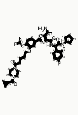 C[C@H](N)c1oc(-c2ccc(OC(F)F)c(OCCCCC(=O)N3CCN(C(=O)C4CC4)CC3)c2)nc1C(=O)NC(C(=O)NC1CCCC1)c1ccc(F)cc1F